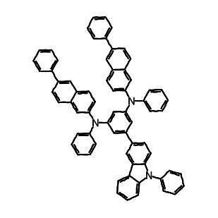 c1ccc(-c2ccc3cc(N(c4ccccc4)c4cc(-c5ccc6c(c5)c5ccccc5n6-c5ccccc5)cc(N(c5ccccc5)c5ccc6cc(-c7ccccc7)ccc6c5)c4)ccc3c2)cc1